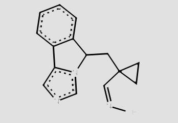 C/N=C\C1(CC2c3ccccc3-c3cncn32)CC1